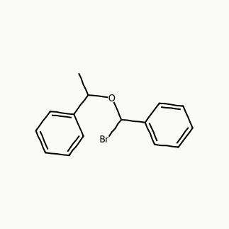 CC(OC(Br)c1ccccc1)c1ccccc1